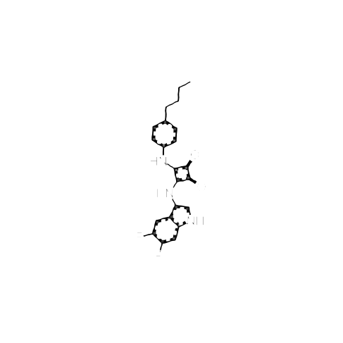 CCCCc1ccc(Nc2c(Nc3c[nH]c4cc(F)c(F)cc34)c(=O)c2=O)cc1